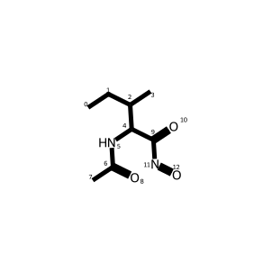 CCC(C)C(NC(C)=O)C(=O)N=O